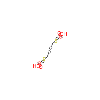 CCOC(Cc1ccc(SCC=CC#Cc2ccc(-c3ccc(C#CC=CCSc4ccc(CC(OCC)C(=O)O)cc4)cc3)cc2)cc1)C(=O)O